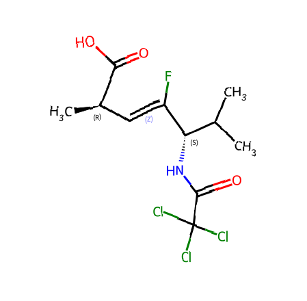 CC(C)[C@H](NC(=O)C(Cl)(Cl)Cl)/C(F)=C/[C@@H](C)C(=O)O